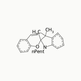 CCCCCN1c2ccccc2C(C)(C)C12C=Cc1ccccc1O2